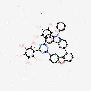 Bc1c(B)c(B)c(-c2nc(-c3ccc4oc5cccc(-c6ccc7c(c6)c6ccccc6n7-c6ccccc6)c5c4c3)nc(-c3c(B)c(B)c(B)c(B)c3B)n2)c(B)c1B